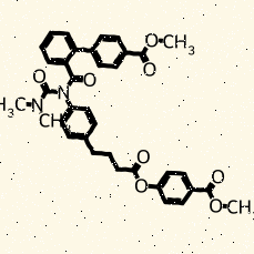 COC(=O)c1ccc(OC(=O)CCCc2ccc(N(C(=O)c3ccccc3-c3ccc(C(=O)OC)cc3)C(=O)N(C)C)cc2)cc1